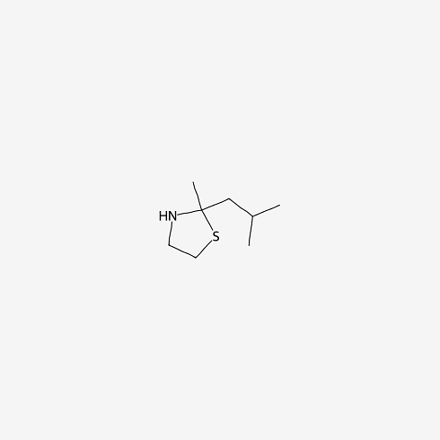 CC(C)CC1(C)NCCS1